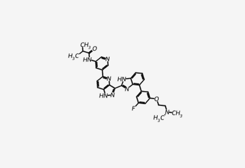 CC(C)C(=O)Nc1cncc(-c2ccc3[nH]nc(-c4nc5c(-c6cc(F)cc(OCCN(C)C)c6)cccc5[nH]4)c3n2)c1